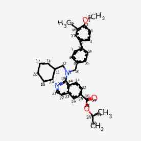 COc1ccc(-c2ccc(CN(CC3CCCCC3)c3nccc4cc(C(=O)OC(C)C)ccc34)cc2)cc1C